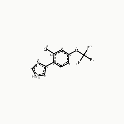 FC(F)(F)Oc1ccc(-c2c[nH][c]n2)c(Cl)c1